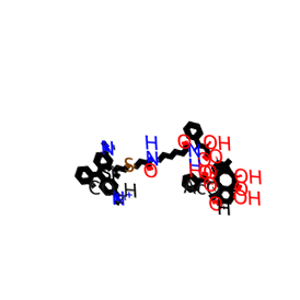 CC(=O)O[C@@]12CO[C@@H]1C[C@H](O)[C@@]1(C)C(=O)[C@H](O)C3=C(C)[C@@H](OC(=O)[C@H](O)[C@@H](NC(=O)CCCCCNC(=O)CCSCC[Si]4(C)C5=CC(=[N+](C)C)C=CC5=C(c5ccccc5C(=O)O)c5ccc(N(C)C)cc54)c4ccccc4)C[C@@](O)([C@@H](OC(=O)c4ccccc4)C12)C3(C)C